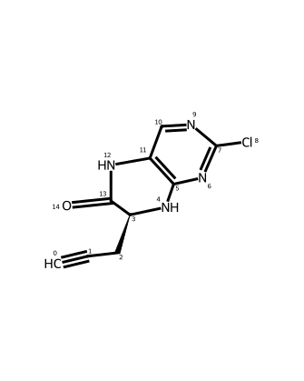 C#CC[C@@H]1Nc2nc(Cl)ncc2NC1=O